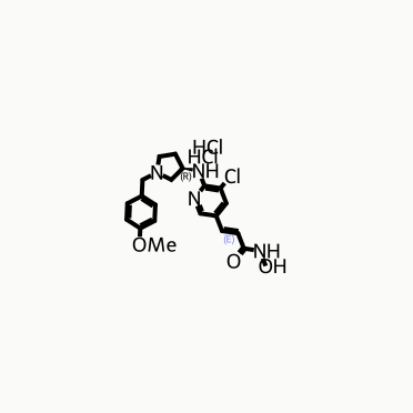 COc1ccc(CN2CC[C@@H](Nc3ncc(/C=C/C(=O)NO)cc3Cl)C2)cc1.Cl.Cl